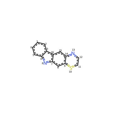 c1ccc2c(c1)nc1cc3sccnc3cc12